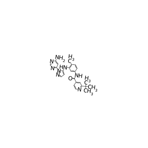 Cc1ccc(NC(=O)c2ccnc(C(C)(C)C)c2)cc1Nc1ccnn1-c1cc(N)ncn1